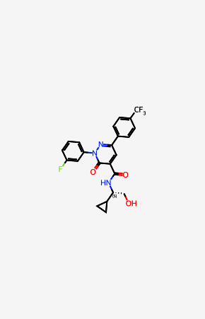 O=C(N[C@H](CO)C1CC1)c1cc(-c2ccc(C(F)(F)F)cc2)nn(-c2cccc(F)c2)c1=O